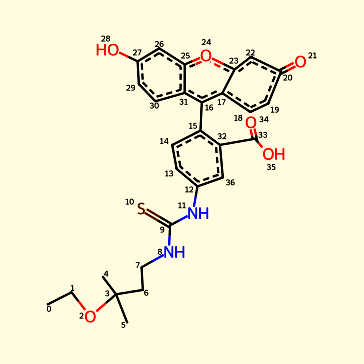 CCOC(C)(C)CCNC(=S)Nc1ccc(-c2c3ccc(=O)cc-3oc3cc(O)ccc23)c(C(=O)O)c1